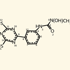 CN(O)C(=O)Nc1cccc(-c2nc(S)nc(S)n2)c1